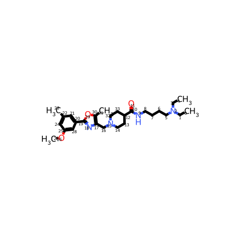 CCN(CC)CCCCNC(=O)C1CCN(Cc2nc(-c3cc(C)cc(OC)c3)oc2C)CC1